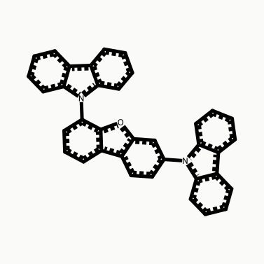 c1cc(-n2c3ccccc3c3ccccc32)c2oc3cc(-n4c5ccccc5c5ccccc54)ccc3c2c1